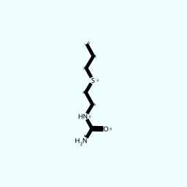 [CH2]CCSCCNC(N)=O